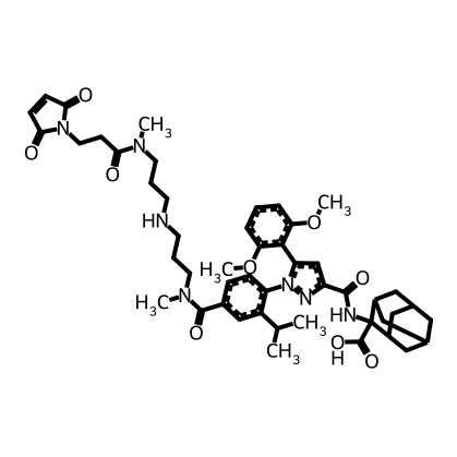 COc1cccc(OC)c1-c1cc(C(=O)NC2(C(=O)O)C3CC4CC(C3)CC2C4)nn1-c1ccc(C(=O)N(C)CCCNCCCN(C)C(=O)CCN2C(=O)C=CC2=O)cc1C(C)C